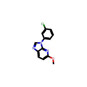 COc1ccc2n[c]n(-c3cccc(Cl)c3)c2n1